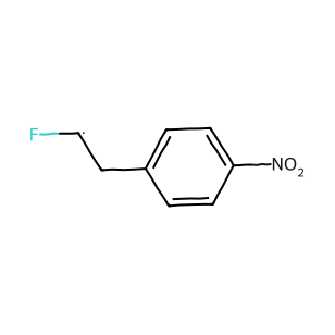 O=[N+]([O-])c1ccc(C[CH]F)cc1